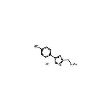 CNCc1nc(-c2ccc(O)cc2)cs1.Cl